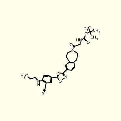 CCCNc1ccc(-c2nc(-c3ccc4c(c3)CCN(C(=O)CNC(=O)OC(C)(C)C)CC4)no2)cc1C#N